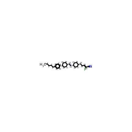 CCCCCc1ccc([C@H]2CC[C@H](/C=C/[C@H]3CC[C@H](CCC=C(F)C#N)CC3)CC2)cc1